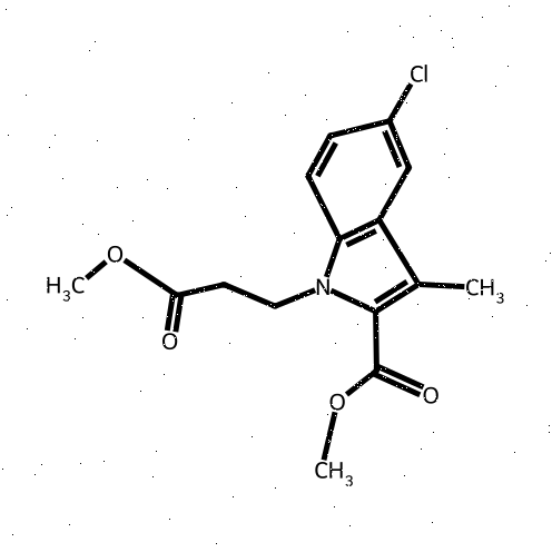 COC(=O)CCn1c(C(=O)OC)c(C)c2cc(Cl)ccc21